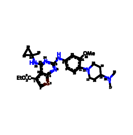 CCOC(=O)c1csc2nc(Nc3ccc(N4CCC(N(C)C)CC4)c(OC)c3)nc(NC3(C)CC3)c12